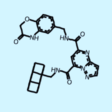 O=C1COc2ccc(CNC(=O)c3cc(C(=O)NCC45C6C7C8C6C4C8C75)n4nccc4n3)cc2N1